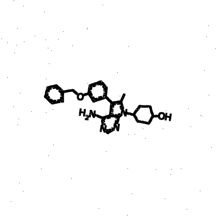 Cc1c(-c2cccc(OCc3ccccc3)c2)c2c(N)ncnc2n1C1CCC(O)CC1